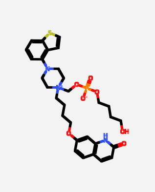 O=c1ccc2ccc(OCCCC[N+]3(COP(=O)([O-])OCCCCO)CCN(c4cccc5sccc45)CC3)cc2[nH]1